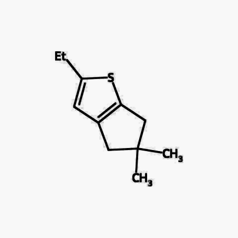 CCc1cc2c(s1)CC(C)(C)C2